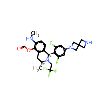 CNc1ccc2c(c1OC=O)C[C@@H](C)N(CC(F)(F)F)[C@@H]2c1c(F)cc(N2CC3(CNC3)C2)cc1F